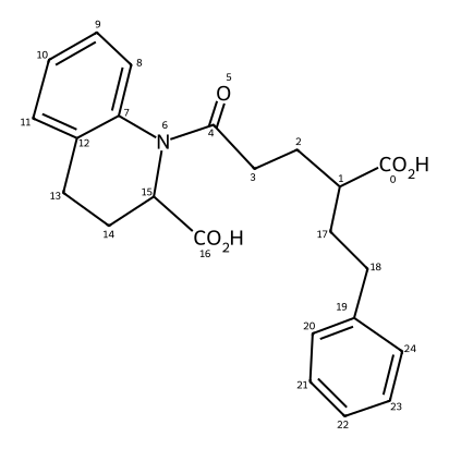 O=C(O)C(CCC(=O)N1c2ccccc2CCC1C(=O)O)CCc1ccccc1